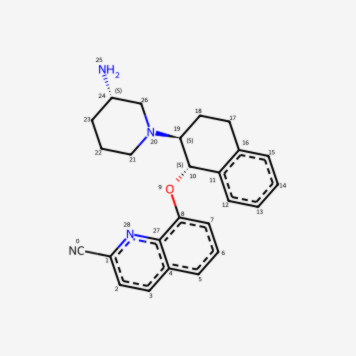 N#Cc1ccc2cccc(O[C@H]3c4ccccc4CC[C@@H]3N3CCC[C@H](N)C3)c2n1